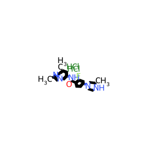 Cc1cn2cc(NC(=O)c3ccc(N4CCNC(C)C4)cc3F)cc(C)c2n1.Cl.Cl